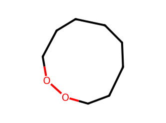 C1CCCCOOCCC1